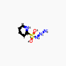 [N-]=[N+]=NS(=O)(=O)c1ccccn1